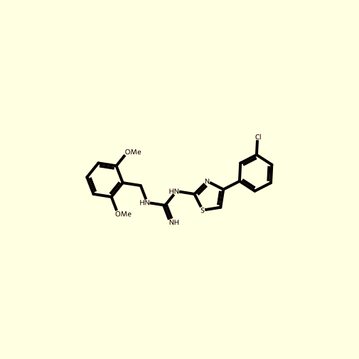 COc1cccc(OC)c1CNC(=N)Nc1nc(-c2cccc(Cl)c2)cs1